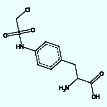 NC(Cc1ccc(NS(=O)(=O)CCl)cc1)C(=O)O